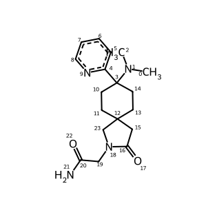 CN(C)C1(c2ccccn2)CCC2(CC1)CC(=O)N(CC(N)=O)C2